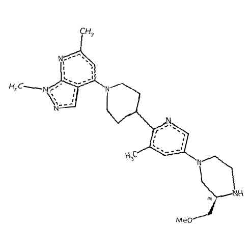 COC[C@H]1CN(c2cnc(C3CCN(c4cc(C)nc5c4cnn5C)CC3)c(C)c2)CCN1